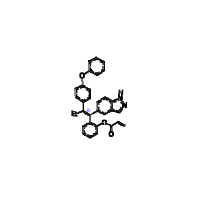 C=CC(=O)Oc1ccccc1/C(=C(\CC)c1ccc(Oc2ccccc2)cc1)c1ccc2[nH]ncc2c1